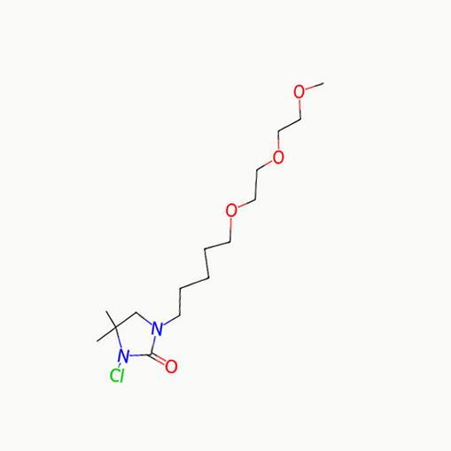 COCCOCCOCCCCCN1CC(C)(C)N(Cl)C1=O